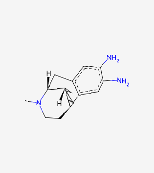 CN1CC[C@]23CCCC[C@H]2[C@H]1Cc1cc(N)c(N)cc13